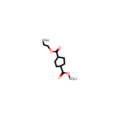 CCCCCCCCCCCCOC(=O)C1CCC(C(=O)OCCCCCCCC)CC1